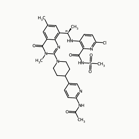 CC(=O)Nc1ccc(C2CCN(c3nc4c([C@@H](C)Nc5ccc(Cl)nc5C(=O)NS(C)(=O)=O)cc(C)cc4c(=O)n3C)CC2)cn1